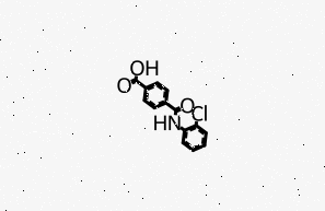 O=C(O)c1ccc(C(=O)Nc2ccccc2Cl)cc1